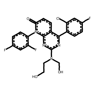 O=c1ccc2c(-c3ccc(F)cc3Cl)nc(N(CO)CCO)nc2n1-c1ccc(F)cc1F